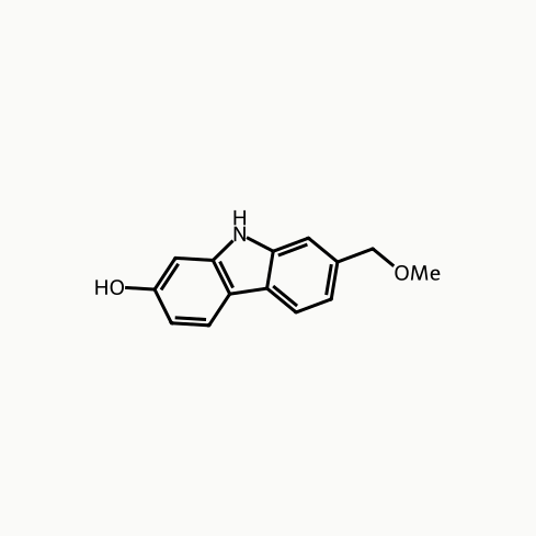 COCc1ccc2c(c1)[nH]c1cc(O)ccc12